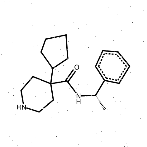 C[C@H](NC(=O)C1(C2CCCC2)CCNCC1)c1ccccc1